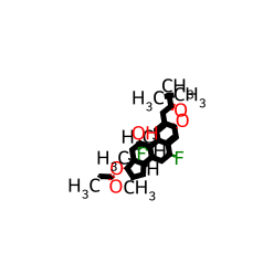 CCC(=O)O[C@H]1[C@H](C)C[C@H]2[C@@H]3C[C@H](F)C4=CC(=O)C(CC(=O)C(C)(C)C)=C[C@]4(C)[C@@]3(F)[C@@H](O)C[C@@]21C